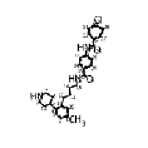 Cc1ccc(C2CCNCC2)c(CCCCNC(=O)c2ccc(NC(=O)c3ccc(Cl)cc3)cc2)c1